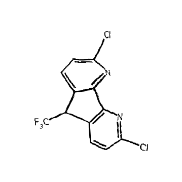 FC(F)(F)C1c2ccc(Cl)nc2-c2nc(Cl)ccc21